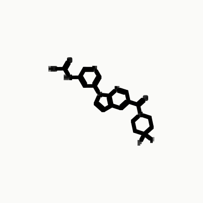 O=C(O)Nc1cncc(-n2ccc3cc(C(=O)N4CCC(F)(F)CC4)cnc32)c1